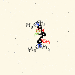 CN(C)c1ccc(/C=C/c2cccc(/C=C/c3ccc(N(C)C)cc3O)c2CC(F)(F)F)c(O)c1